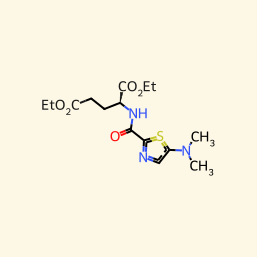 CCOC(=O)CC[C@H](NC(=O)c1ncc(N(C)C)s1)C(=O)OCC